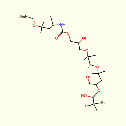 CCC(C)(CC)C(O)OC(CO)CC(C)(C)O[C@H](C)C(C)(C)OCC(O)COC(=O)NC(C)CC(C)(C)OCNC